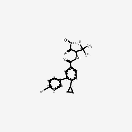 CNC(=O)C(NC(=O)c1ccc(C2CC2)c(-c2ccc(F)nc2)c1)C(C)(C)C